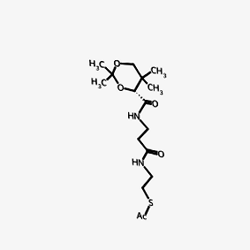 CC(=O)SCCNC(=O)CCNC(=O)[C@@H]1OC(C)(C)OCC1(C)C